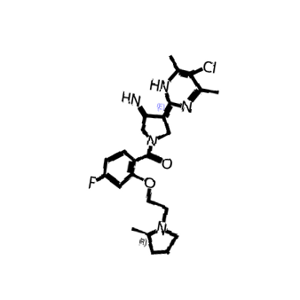 CC1=N/C(=C2\CN(C(=O)c3ccc(F)cc3OCCN3CCC[C@H]3C)CC2=N)NC(C)=C1Cl